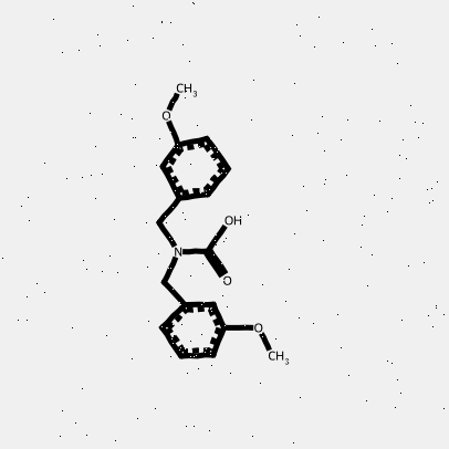 COc1cccc(CN(Cc2cccc(OC)c2)C(=O)O)c1